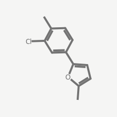 Cc1ccc(-c2ccc(C)c(Cl)c2)o1